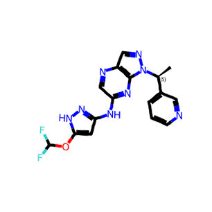 C[C@@H](c1cccnc1)n1ncc2ncc(Nc3cc(OC(F)F)[nH]n3)nc21